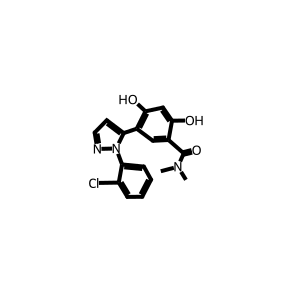 CN(C)C(=O)c1cc(-c2ccnn2-c2ccccc2Cl)c(O)cc1O